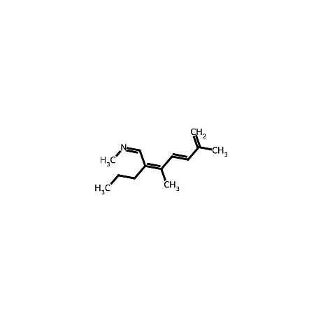 C=C(C)/C=C/C(C)=C(\C=N/C)CCC